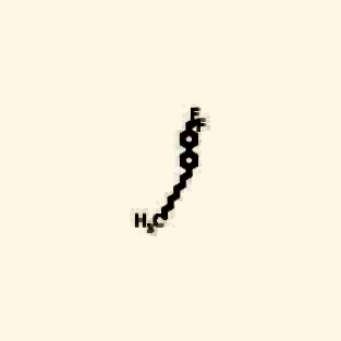 CCCCCCCCCCC1CCC(C2CCC(C=C(F)F)CC2)CC1